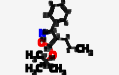 CCCc1c(-c2ccccc2)noc1OC(C)(C)C